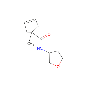 CC1(C(=O)NC2CCOC2)CC=CC1